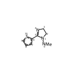 CNN1CCN=C1c1cccs1